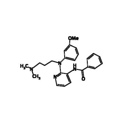 COc1cccc(N(CCCN(C)C)c2ncccc2NC(=O)c2ccccc2)c1